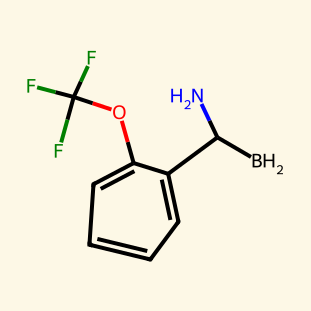 BC(N)c1ccccc1OC(F)(F)F